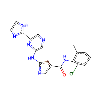 Cc1cccc(Cl)c1NC(=O)c1cnc(Nc2cncc(-c3ncc[nH]3)n2)s1